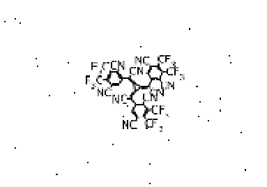 N#CC(=C1C(=C(C#N)c2cc(C#N)c(C(F)(F)F)c(C(F)(F)F)c2C#N)C1=C(C#N)c1cc(C#N)c(C(F)(F)F)c(C(F)(F)F)c1C#N)c1cc(C#N)c(C(F)(F)F)c(C(F)(F)F)c1C#N